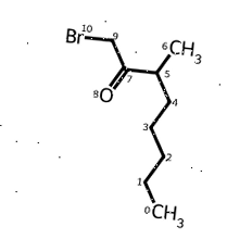 CCCCCC(C)C(=O)CBr